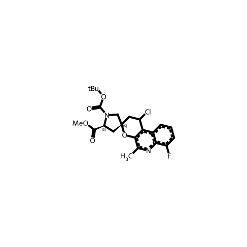 COC(=O)[C@@H]1C[C@]2(CC(Cl)c3c(c(C)nc4c(F)cccc34)O2)CN1C(=O)OC(C)(C)C